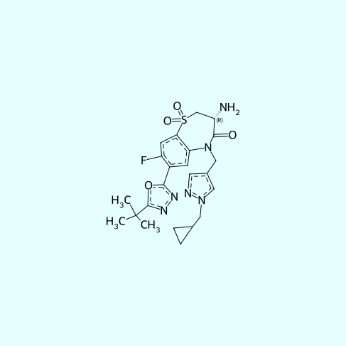 CC(C)(C)c1nnc(-c2cc3c(cc2F)S(=O)(=O)C[C@H](N)C(=O)N3Cc2cnn(CC3CC3)c2)o1